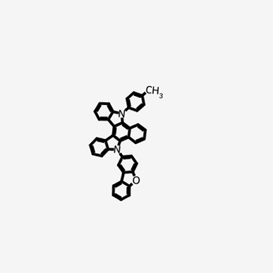 Cc1ccc(-n2c3ccccc3c3c4c5ccccc5n(-c5ccc6oc7ccccc7c6c5)c4c4ccccc4c32)cc1